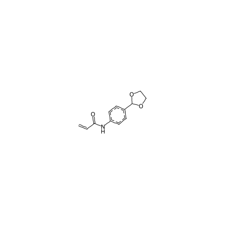 C=CC(=O)Nc1ccc(C2OCCO2)cc1